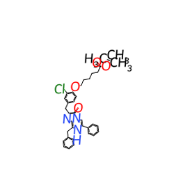 CC(C)(C)OC(=O)CCCCCOc1ccc(Cc2nc3c(Cc4ccccc4)[nH]c(-c4ccccc4)cn-3c2=O)cc1Cl